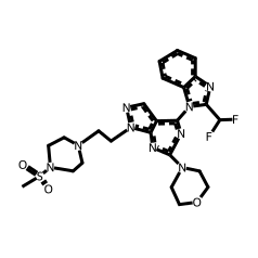 CS(=O)(=O)N1CCN(CCn2ncc3c(-n4c(C(F)F)nc5ccccc54)nc(N4CCOCC4)nc32)CC1